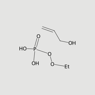 C=CCO.CCOOP(=O)(O)O